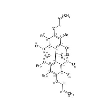 C=CCOc1c(Br)c(OCC)c(C(C)(C)c2c(OCC)c(Br)c(OCC=C)c(Br)c2OCC)c(OCC)c1Br